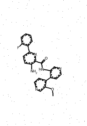 COc1cnccc1-c1ccncc1NC(=O)c1nc(-c2ccccc2F)ccc1N